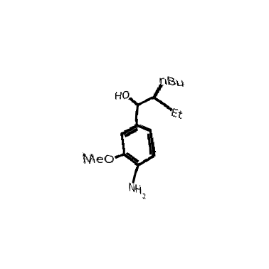 CCCCC(CC)C(O)c1ccc(N)c(OC)c1